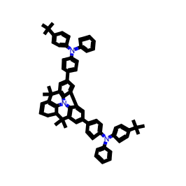 CC(C)(C)c1ccc(N(c2ccccc2)c2ccc(-c3cc4c5c(c3)c3cc(-c6ccc(N(c7ccccc7)c7ccc(C(C)(C)C)cc7)cc6)cc6c3n5C3=C(C=CCC3C6(C)C)C4(C)C)cc2)cc1